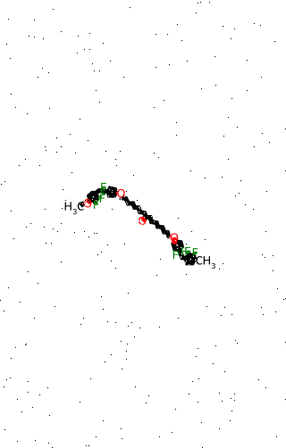 CCOc1ccc(CC(F)(F)c2ccc(OCCCCCCCCC(=O)CCCCCCCCOc3ccc(C(F)(F)Cc4ccc(C)c(F)c4F)cc3)cc2)c(F)c1F